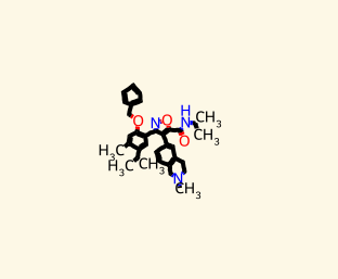 Cc1cc(OCc2ccccc2)c(-c2noc(C(=O)NC(C)C)c2-c2ccc3c(c2)CCN(C)C3)cc1C(C)C